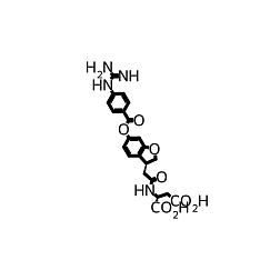 N=C(N)Nc1ccc(C(=O)Oc2ccc3c(c2)OC[C@H]3CC(=O)N[C@@H](CC(=O)O)C(=O)O)cc1